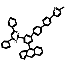 Cc1ccc(-c2ccc(-c3ccc(-c4cc(-c5nc(-c6ccccc6)cc(-c6ccccc6)n5)cc(-c5c6ccccc6cc6ccccc56)c4)cc3)cc2)cn1